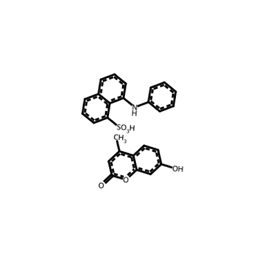 Cc1cc(=O)oc2cc(O)ccc12.O=S(=O)(O)c1cccc2cccc(Nc3ccccc3)c12